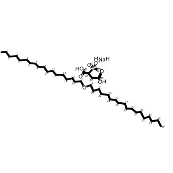 CCCCCCCCCCCCCCCCCCOCCCCCCCCCCCCCCCCCC.O=C(O)CC(C(=O)O)S(=O)(=O)O.[NaH]